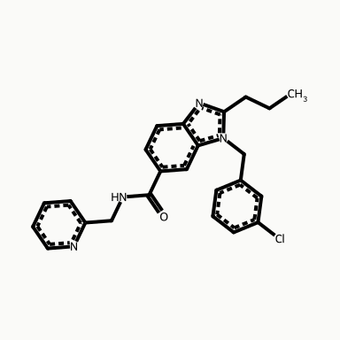 CCCc1nc2ccc(C(=O)NCc3ccccn3)cc2n1Cc1cccc(Cl)c1